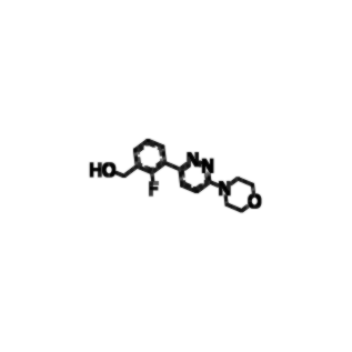 OCc1cccc(-c2ccc(N3CCOCC3)nn2)c1F